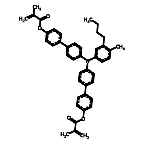 C=C(C)C(=O)Oc1ccc(-c2ccc(N(c3ccc(-c4ccc(OC(=O)C(=C)C)cc4)cc3)c3ccc(C)c(CCCC)c3)cc2)cc1